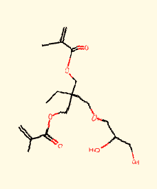 C=C(C)C(=O)OCC(CC)(COCC(O)CO)COC(=O)C(=C)C